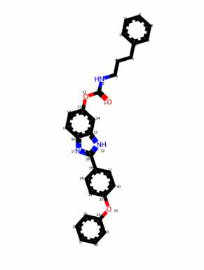 O=C(NCCCc1ccccc1)Oc1ccc2nc(-c3ccc(Oc4ccccc4)cc3)[nH]c2c1